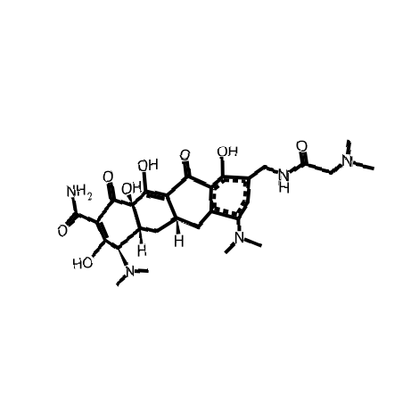 CN(C)CC(=O)NCc1cc(N(C)C)c2c(c1O)C(=O)C1=C(O)[C@@]3(O)C(=O)C(C(N)=O)=C(O)[C@H](N(C)C)[C@H]3C[C@H]1C2